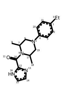 CCc1ccc(N2CC(C)N(C(=O)c3ncc[nH]3)C(C)C2)cc1